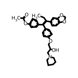 CC/C(=C(/c1ccc(OCC(O)CN2CCCCC2)cc1)c1ccc(OC(C)=O)cc1)c1ccc2c(c1)OCO2